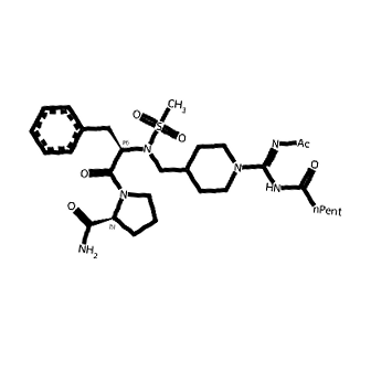 CCCCCC(=O)NC(=NC(C)=O)N1CCC(CN([C@H](Cc2ccccc2)C(=O)N2CCC[C@H]2C(N)=O)S(C)(=O)=O)CC1